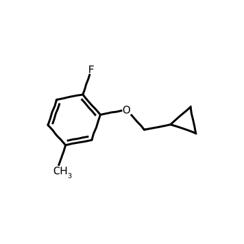 Cc1ccc(F)c(OCC2CC2)c1